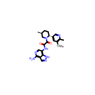 COc1cc([C@H]2CC[C@H](C)CN2C(=O)C(=O)Nc2cnc(N)c3cn[nH]c23)cnc1C